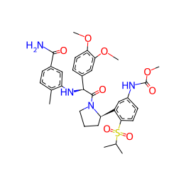 COC(=O)Nc1ccc(S(=O)(=O)C(C)C)c([C@H]2CCCN2C(=O)[C@@H](Nc2cc(C(N)=O)ccc2C)c2ccc(OC)c(OC)c2)c1